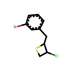 ClC1CSC1[CH]c1cccc(Br)c1